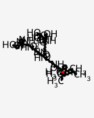 CCCc1cc2c(cc1C)C(c1ccccc1C(=O)N(C)CCCC(=O)NCCCCCC(=O)NC(CCCSSCCC(=O)NCC#Cc1cn([C@H]3CC[C@@H](CO)O3)c3ncnc(N)c13)C(=O)NCCCCCC(=O)NC(CC(=O)O)C(=O)NC(CC(=O)O)C(=O)O)C1C=C(C)/C(=N/CC)C=C1C2